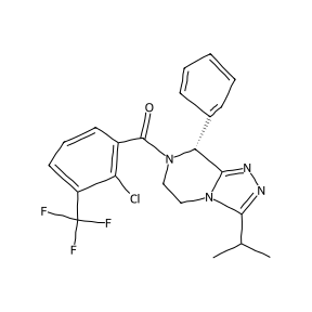 CC(C)c1nnc2n1CCN(C(=O)c1cccc(C(F)(F)F)c1Cl)[C@@H]2c1ccccc1